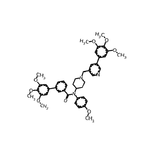 COc1ccc(N(C(=O)c2cccc(-c3cc(OC)c(OC)c(OC)c3)c2)C2CCN(Cc3cncc(-c4cc(OC)c(OC)c(OC)c4)c3)CC2)cc1